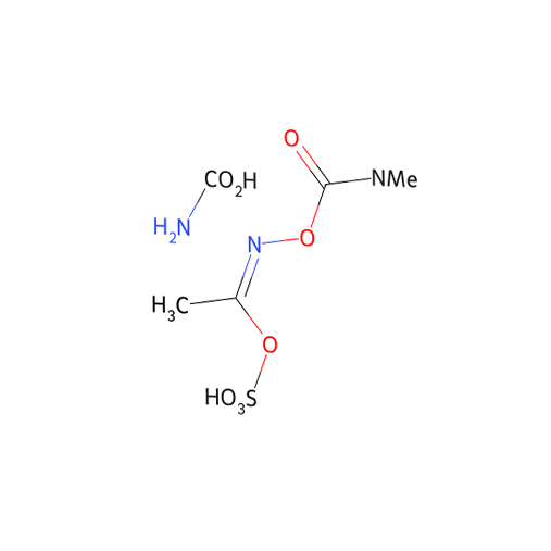 CNC(=O)ON=C(C)OS(=O)(=O)O.NC(=O)O